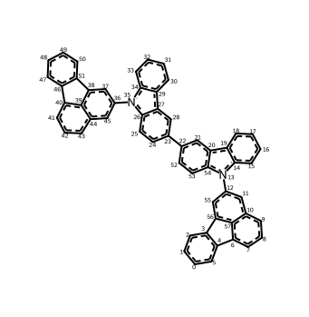 c1ccc2c(c1)-c1cccc3cc(-n4c5ccccc5c5cc(-c6ccc7c(c6)c6ccccc6n7-c6cc7c8c(cccc8c6)-c6ccccc6-7)ccc54)cc-2c13